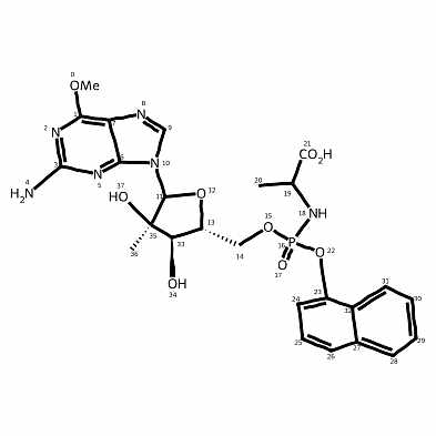 COc1nc(N)nc2c1ncn2C1O[C@H](COP(=O)(NC(C)C(=O)O)Oc2cccc3ccccc23)[C@@H](O)[C@@]1(C)O